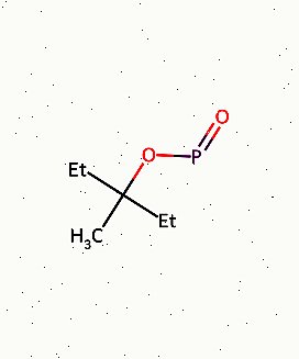 CCC(C)(CC)OP=O